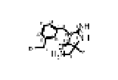 CC1(CN)NC(=N)N(Cc2cccc(CI)c2)C1=O